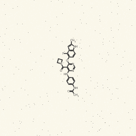 CC(=O)Nc1ccc(Nc2ncnc(Oc3ccc4[nH]c(C)cc4c3F)c2C(=O)N2CCC2)cc1